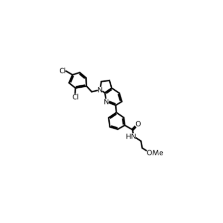 COCCNC(=O)c1cccc(-c2ccc3c(n2)N(Cc2ccc(Cl)cc2Cl)CC3)c1